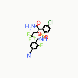 N#Cc1ccc(CNS(=O)(=O)c2ccc(Cl)cc2[C@@H](CCC(F)(F)F)C(N)=O)c(F)c1